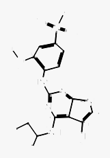 CCC(C)Nc1nc(Nc2ccc(S(C)(=O)=O)cc2OC)nc2[nH]cc(Cl)c12